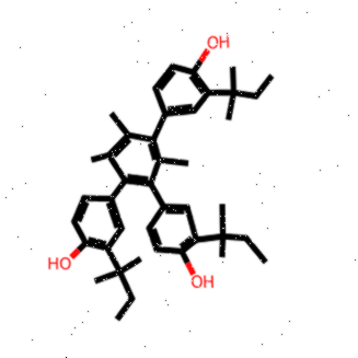 CCC(C)(C)c1cc(-c2c(C)c(C)c(-c3ccc(O)c(C(C)(C)CC)c3)c(-c3ccc(O)c(C(C)(C)CC)c3)c2C)ccc1O